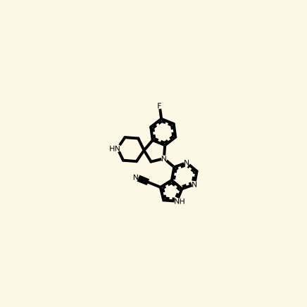 N#Cc1c[nH]c2ncnc(N3CC4(CCNCC4)c4cc(F)ccc43)c12